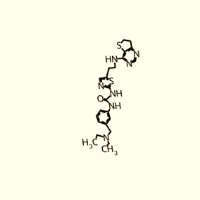 CCN(CC)Cc1cccc(NC(=O)Nc2ncc(CCNc3ncnc4c3SCC4)s2)c1